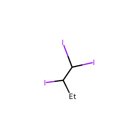 CCC(I)C(I)I